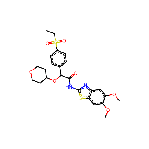 CCS(=O)(=O)c1ccc(C(OC2CCOCC2)C(=O)Nc2nc3cc(OC)c(OC)cc3s2)cc1